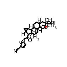 COC[C@]12CC[C@@](C)(O)C[C@H]1CC[C@@H]1[C@@H]2CC[C@]2(C)C(C(=O)Cn3ccc(C#N)n3)[C@@H]3CC3[C@@H]12